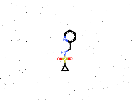 O=S(=O)(NCc1ccccn1)C1CC1